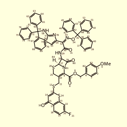 COc1ccc(COC(=O)C2=C(CSc3cc(=O)c4ccc(F)cc4s3)CS[C@H]3C(NC(=O)/C(=N\OC(c4ccccc4)(c4ccccc4)c4ccccc4)c4csc(NC(c5ccccc5)(c5ccccc5)c5ccccc5)n4)C(=O)N23)cc1